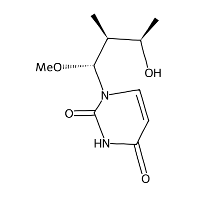 CO[C@H]([C@@H](C)[C@@H](C)O)n1ccc(=O)[nH]c1=O